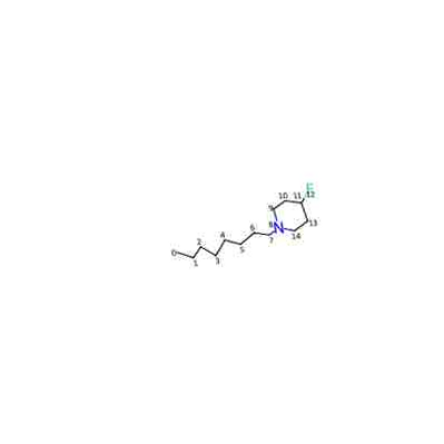 CCCCCCCCN1CCC(F)CC1